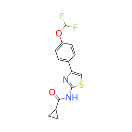 O=C(Nc1nc(-c2ccc(OC(F)F)cc2)cs1)C1CC1